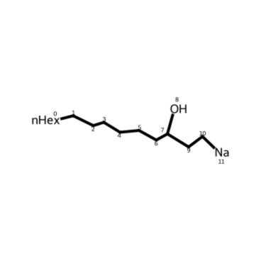 CCCCCCCCCCCCC(O)C[CH2][Na]